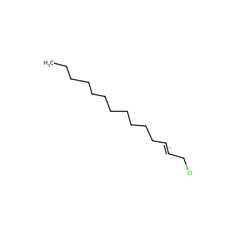 CCCCCCCCCCC/C=C/[CH]Cl